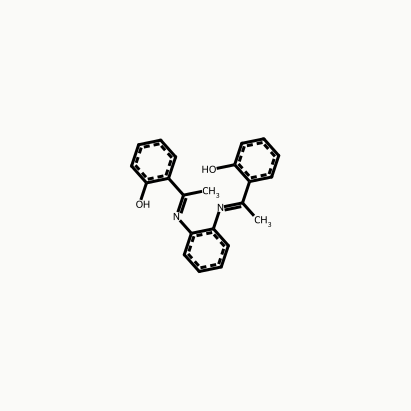 C/C(=N\c1ccccc1/N=C(\C)c1ccccc1O)c1ccccc1O